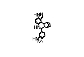 c1cc2nn[nH]c2cc1C1Nc2ccc3[nH]ncc3c2C2C3CCC(C3)C12